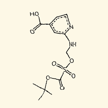 CC(C)(C)OC(=O)S(=O)(=O)OCNc1cc(C(=O)O)ccn1